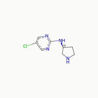 Clc1cnc(N[C@H]2CCNC2)nc1